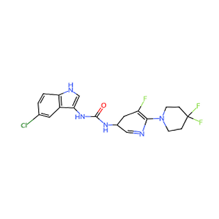 O=C(Nc1c[nH]c2ccc(Cl)cc12)NC1C=NC(N2CCC(F)(F)CC2)=C(F)C1